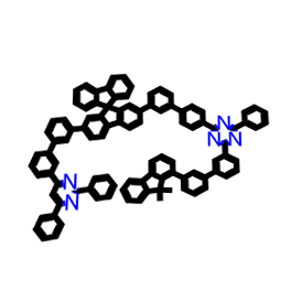 CC1(C)c2ccccc2-c2cccc(-c3cccc(-c4cccc(-c5nc(-c6ccccc6)nc(-c6ccc(-c7cccc(-c8ccc9c(c8)C8(c%10ccccc%10-c%10ccccc%108)c8cc(-c%10cccc(-c%11cccc(-c%12cc(-c%13ccccc%13)nc(-c%13ccccc%13)n%12)c%11)c%10)ccc8-9)c7)cc6)n5)c4)c3)c21